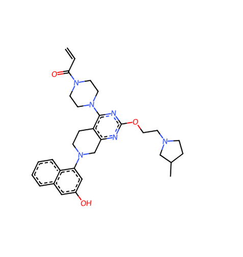 C=CC(=O)N1CCN(c2nc(OCCN3CCC(C)C3)nc3c2CCN(c2cc(O)cc4ccccc24)C3)CC1